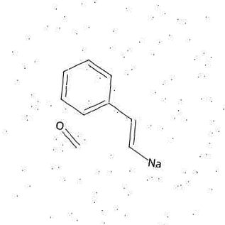 C=O.[Na][CH]=Cc1ccccc1